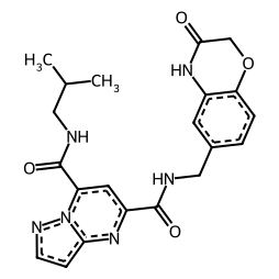 CC(C)CNC(=O)c1cc(C(=O)NCc2ccc3c(c2)NC(=O)CO3)nc2ccnn12